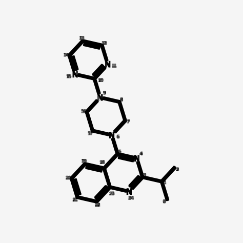 CC(C)c1nc(N2CCN(c3ncccn3)CC2)c2ccccc2n1